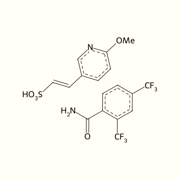 COc1ccc(/C=C/S(=O)(=O)O)cn1.NC(=O)c1ccc(C(F)(F)F)cc1C(F)(F)F